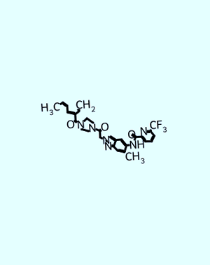 C=C/C(=C\C=C/C)C(=O)N1CCN(C(=O)Cn2cc3cc(NC(=O)c4cccc(C(F)(F)F)n4)c(C)cc3n2)CC1